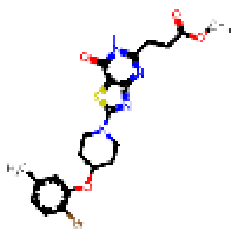 COC(=O)CCc1nc2nc(N3CCC(Oc4cc(C)ccc4Br)CC3)sc2c(=O)[nH]1